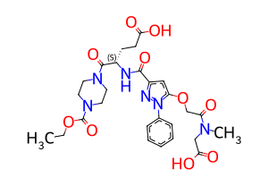 CCOC(=O)N1CCN(C(=O)[C@H](CCC(=O)O)NC(=O)c2cc(OCC(=O)N(C)CC(=O)O)n(-c3ccccc3)n2)CC1